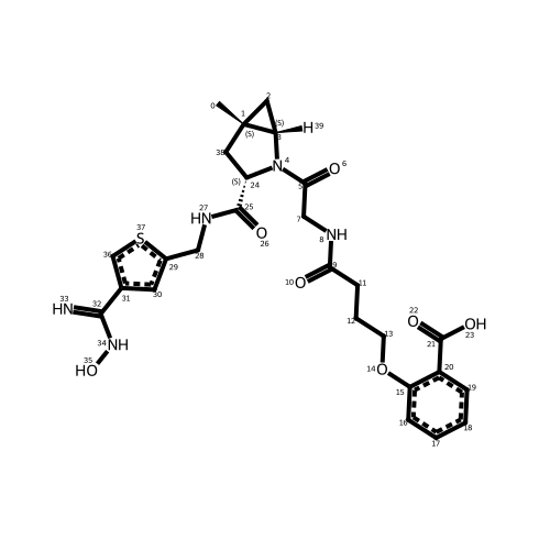 C[C@@]12C[C@@H]1N(C(=O)CNC(=O)CCCOc1ccccc1C(=O)O)[C@H](C(=O)NCc1cc(C(=N)NO)cs1)C2